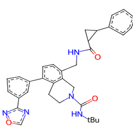 CC(C)(C)NC(=O)N1CCc2c(-c3cccc(-c4ncon4)c3)ccc(CNC(=O)C3CC3c3ccccc3)c2C1